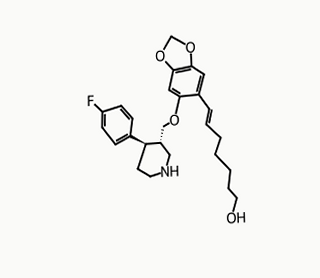 OCCCCC/C=C/c1cc2c(cc1OC[C@@H]1CNCC[C@H]1c1ccc(F)cc1)OCO2